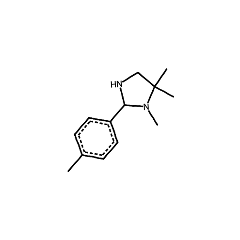 Cc1ccc(C2NCC(C)(C)N2C)cc1